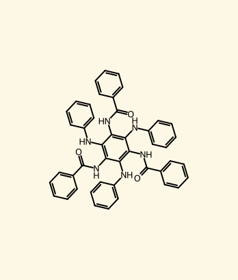 O=C(Nc1c(Nc2ccccc2)c(NC(=O)c2ccccc2)c(Nc2ccccc2)c(NC(=O)c2ccccc2)c1Nc1ccccc1)c1ccccc1